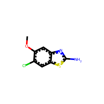 COc1cc2nc(N)sc2cc1Cl